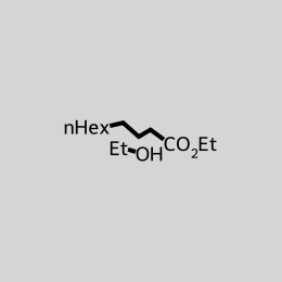 CCCCCCCCCC(=O)OCC.CCO